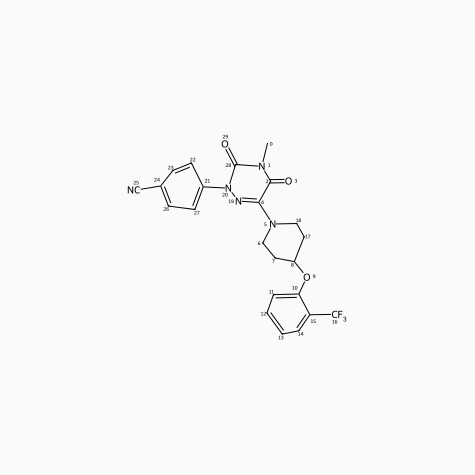 Cn1c(=O)c(N2CCC(Oc3ccccc3C(F)(F)F)CC2)nn(-c2ccc(C#N)cc2)c1=O